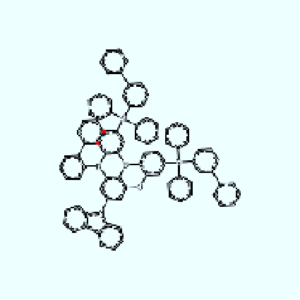 c1ccc(-c2cccc([Si](c3ccccc3)(c3ccccc3)c3ccc4c(c3)Oc3cc(-n5c6ccccc6c6ccccc65)cc5c3B4c3cc([Si](c4ccccc4)(c4ccccc4)c4cccc(-c6ccccc6)c4)ccc3N5c3ccccc3-c3ccccc3)c2)cc1